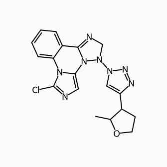 CC1OCCC1c1cn(N2CN=C3c4ccccc4-n4c(cnc4Cl)N32)nn1